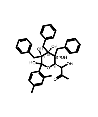 CC(=O)C(O)[C@H]1OC(O)(c2ccc(C)cc2C)[C@](O)(Cc2ccccc2)[C@](O)(Cc2ccccc2)[C@@]1(O)Cc1ccccc1